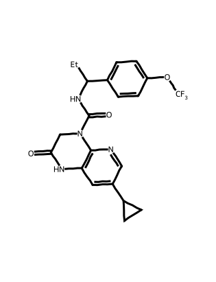 CCC(NC(=O)N1CC(=O)Nc2cc(C3CC3)cnc21)c1ccc(OC(F)(F)F)cc1